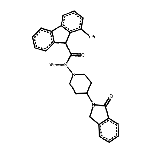 CCCc1cccc2c1C(C(=O)N(CCC)N1CCC(N3Cc4ccccc4C3=O)CC1)c1ccccc1-2